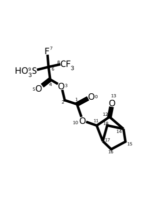 O=C(COC(=O)C(F)(C(F)(F)F)S(=O)(=O)O)OC1C(=O)C2CCC1C2